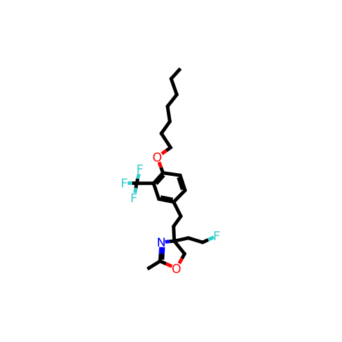 CCCCCCCOc1ccc(CCC2(CCF)COC(C)=N2)cc1C(F)(F)F